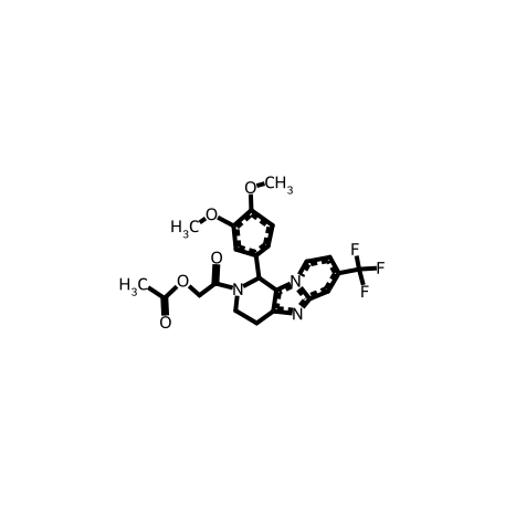 COc1ccc(C2c3c(nc4cc(C(F)(F)F)ccn34)CCN2C(=O)COC(C)=O)cc1OC